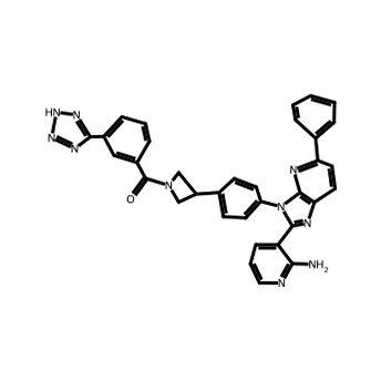 Nc1ncccc1-c1nc2ccc(-c3ccccc3)nc2n1-c1ccc(C2CN(C(=O)c3cccc(-c4nn[nH]n4)c3)C2)cc1